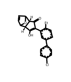 CCc1ccc(-c2ccc(Cl)cc2)cc1C1=C(O)[C@@H]2C3C=CC(O3)[C@@H]2C1=O